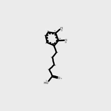 O=C(O)CCCCc1cccc(Cl)c1Cl